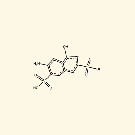 Nc1cc2c(O)[c]c(S(=O)(=O)O)cc2cc1S(=O)(=O)O